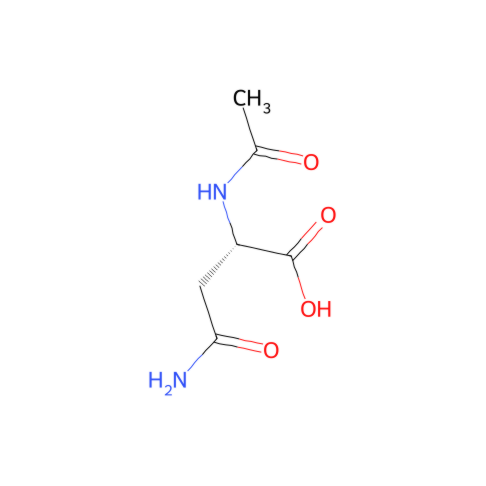 CC(=O)N[C@@H](CC(N)=O)C(=O)O